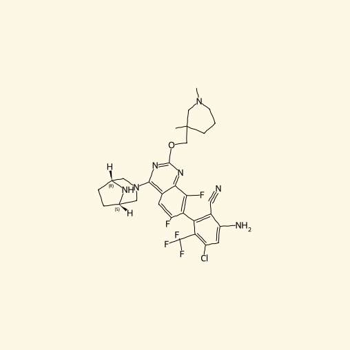 CN1CCCC(C)(COc2nc(N3C[C@H]4CC[C@@H](C3)N4)c3cc(F)c(-c4c(C#N)c(N)cc(Cl)c4C(F)(F)F)c(F)c3n2)C1